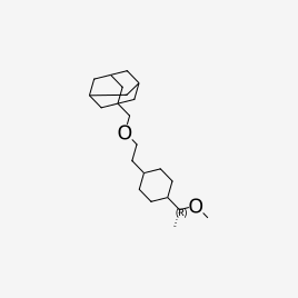 CO[C@H](C)C1CCC(CCOCC23CC4CC(CC(C4)C2)C3)CC1